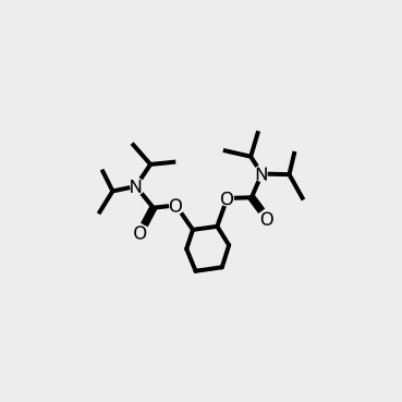 CC(C)N(C(=O)OC1CCCCC1OC(=O)N(C(C)C)C(C)C)C(C)C